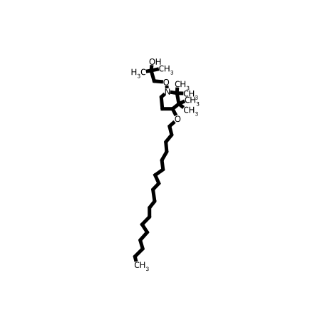 CCCCCCCCCCCCCCCCCCOC1CCN(OCC(C)(C)O)C(C)(C)C1(C)C